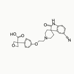 N#Cc1ccc2c(c1)C1(CCN(CCOc3ccc(C4(C(=O)O)COC4)cc3)CC1)C(=O)N2